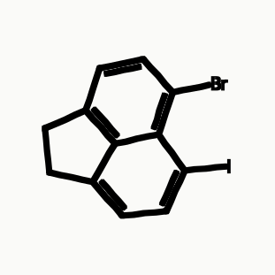 Brc1ccc2c3c(ccc(I)c13)CC2